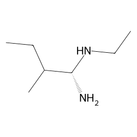 CCN[C@H](N)C(C)CC